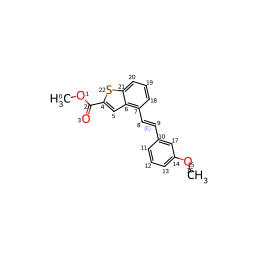 COC(=O)c1cc2c(/C=C/c3cccc(OC)c3)cccc2s1